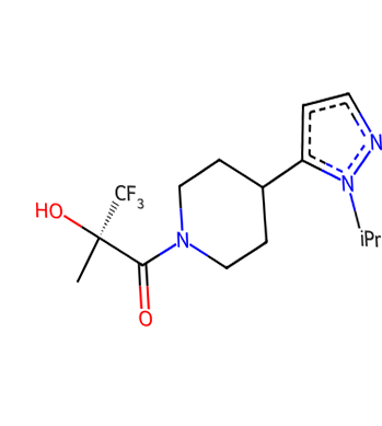 CC(C)n1nccc1C1CCN(C(=O)[C@@](C)(O)C(F)(F)F)CC1